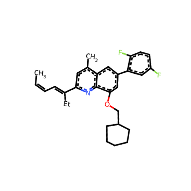 C/C=C\C=C(/CC)c1cc(C)c2cc(-c3cc(F)ccc3F)cc(OCC3CCCCC3)c2n1